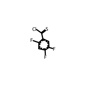 Fc1cc(F)c(C(=S)Cl)cc1F